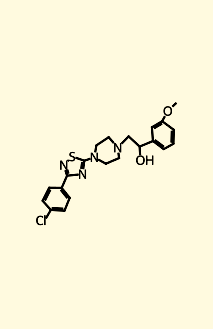 COc1cccc(C(O)CN2CCN(c3nc(-c4ccc(Cl)cc4)ns3)CC2)c1